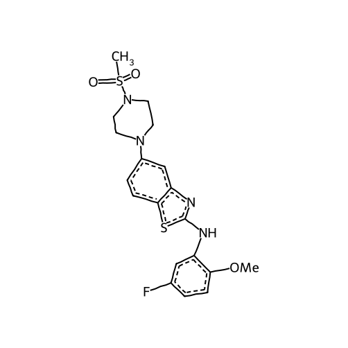 COc1ccc(F)cc1Nc1nc2cc(N3CCN(S(C)(=O)=O)CC3)ccc2s1